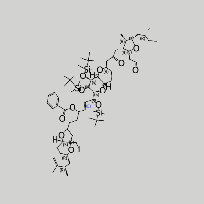 C=C(C)[C@H](C)C[C@H]1CC[C@@H]2OC(CCC(/C=C/[C@H](O[Si](C)(C)C(C)(C)C)[C@@H]3O[C@H]4CC[C@H](CC(=O)C[C@@H]5[C@@H](C)[C@@H](C[C@H](C)CC)O[C@H]5CC=O)O[C@@H]4[C@H](O[Si](C)(C)C(C)(C)C)[C@@H]3O[Si](C)(C)C(C)(C)C)OC(=O)c3ccccc3)C[C@]2(CI)O1